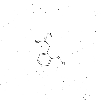 CCOc1ccccc1C[SH](C)S